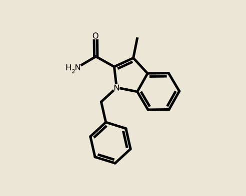 Cc1c(C(N)=O)n(Cc2ccccc2)c2ccccc12